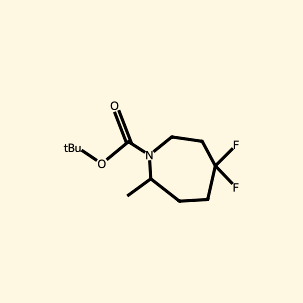 CC1CCC(F)(F)CCN1C(=O)OC(C)(C)C